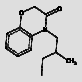 CC(CI)CN1C(=O)COc2ccccc21